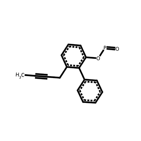 CC#CCc1cccc(OP=O)c1-c1ccccc1